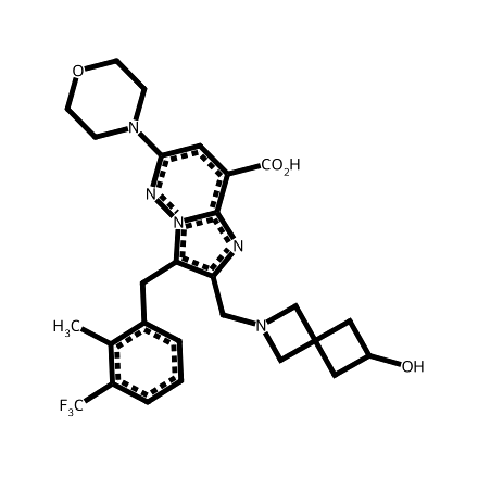 Cc1c(Cc2c(CN3CC4(CC(O)C4)C3)nc3c(C(=O)O)cc(N4CCOCC4)nn23)cccc1C(F)(F)F